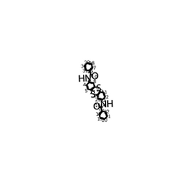 O=C(Nc1ccc2c(c1)Sc1ccc(NC(=O)c3ccccc3)cc1S2)c1ccccc1